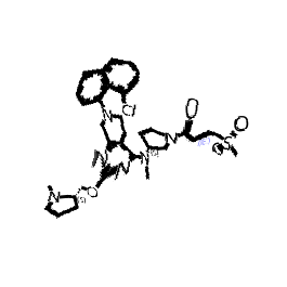 CN1CCC[C@H]1COc1nc2c(c(N(C)[C@H]3CCN(C(=O)/C=C/S(C)(=O)=O)C3)n1)CCN(c1cccc3cccc(Cl)c13)C2